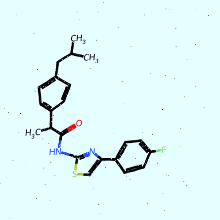 CC(C)Cc1ccc(C(C)C(=O)Nc2nc(-c3ccc(F)cc3)cs2)cc1